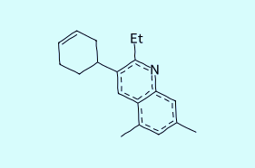 CCc1nc2cc(C)cc(C)c2cc1C1CC=CCC1